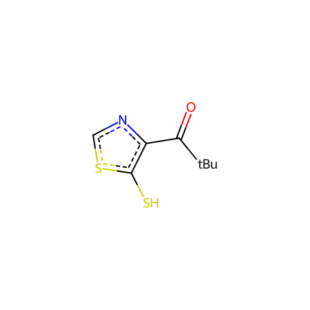 CC(C)(C)C(=O)c1ncsc1S